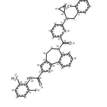 Cc1ccccc1CN(c1cccc(C(=O)N2CCc3cc(C(=O)Nc4c(C)cccc4F)sc3-c3ccccc32)n1)C1CC1